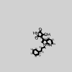 O=C1NC(=O)C(c2cn(CCCc3ccccc3)c3ncccc23)=C1O